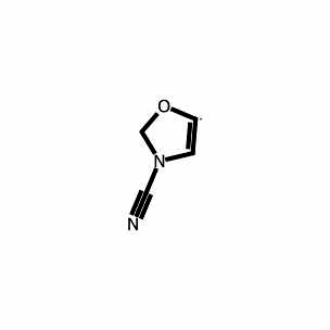 N#CN1C=[C]OC1